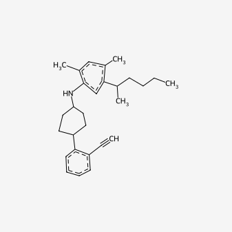 C#Cc1ccccc1C1CCC(Nc2cc(C(C)CCCC)c(C)cc2C)CC1